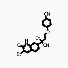 CCc1cc2ccc(C(C#N)(CC)CCOc3ccc(C#N)cc3)cc2[nH]c1=O